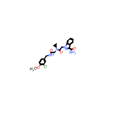 COc1ccc(CNC(=O)CN(C(=O)Cn2nc(C(N)=O)c3ccccc32)C2CC2)cc1Cl